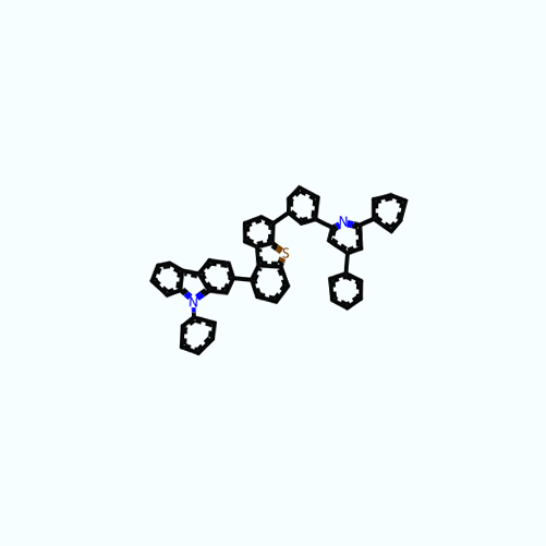 c1ccc(-c2cc(-c3ccccc3)nc(-c3cccc(-c4cccc5c4sc4cccc(-c6ccc7c8ccccc8n(-c8ccccc8)c7c6)c45)c3)c2)cc1